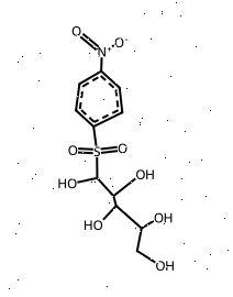 O=[N+]([O-])c1ccc(S(=O)(=O)C(O)C(O)C(O)C(O)CO)cc1